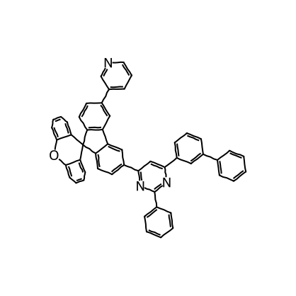 c1ccc(-c2cccc(-c3cc(-c4ccc5c(c4)-c4cc(-c6cccnc6)ccc4C54c5ccccc5Oc5ccccc54)nc(-c4ccccc4)n3)c2)cc1